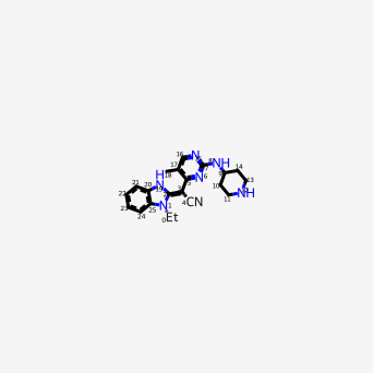 CCN1C(=C(C#N)c2nc(NC3CCNCC3)ncc2C)Nc2ccccc21